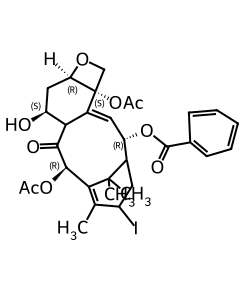 CC(=O)O[C@H]1C(=O)C2C(=C[C@H](OC(=O)c3ccccc3)C3CC(I)C(C)=C1C3(C)C)[C@]1(OC(C)=O)CO[C@@H]1C[C@@H]2O